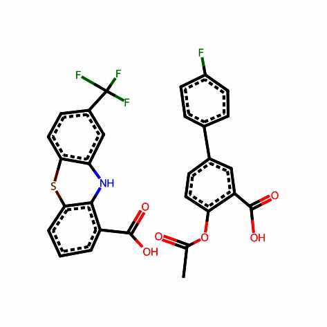 CC(=O)Oc1ccc(-c2ccc(F)cc2)cc1C(=O)O.O=C(O)c1cccc2c1Nc1cc(C(F)(F)F)ccc1S2